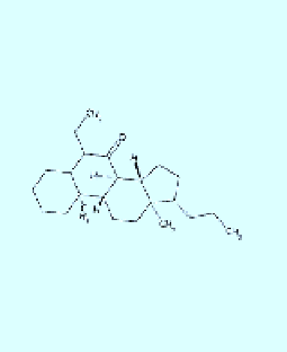 CCC[C@H]1CC[C@H]2[C@@H]3C(=O)C(CC)C4CCCC[C@]4(C)[C@H]3CC[C@]12C